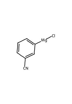 N#Cc1ccc[c]([Mg][Cl])c1